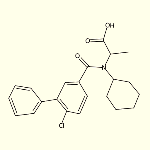 CC(C(=O)O)N(C(=O)c1ccc(Cl)c(-c2ccccc2)c1)C1CCCCC1